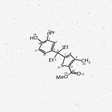 CCCc1cc(C(CC)(CC)c2cc(C)c(C(=O)OC)s2)ccc1O